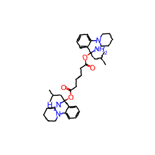 CC(C)CC(N)(OC(=O)CCCCC(=O)OC(N)(CC(C)C)c1ccccc1N1CCCCC1)c1ccccc1N1CCCCC1